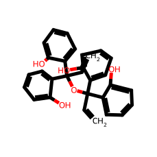 C=CC(OC(C=C)(c1ccccc1O)c1ccccc1O)(c1ccccc1O)c1ccccc1O